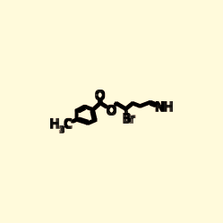 Cc1ccc(C(=O)OC[C@H](Br)CCC=N)cc1